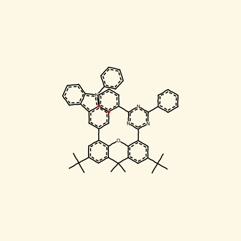 CC(C)(C)c1cc(-c2ccc3c(c2)c2ccccc2n3-c2ccccc2)c2c(c1)C(C)(C)c1cc(C(C)(C)C)cc(-c3nc(-c4ccccc4)nc(-c4ccccc4)n3)c1O2